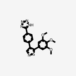 COc1cc(-c2sncc2-c2ccc(-c3nnn[nH]3)cc2)cc(OC)c1OC